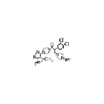 CC(C)N1CCN(CC(C(=O)N2CCN(c3ncnc4c3[C@H](C)C[C@H]4F)CC2)c2ccc(Cl)c(Cl)c2)CC1